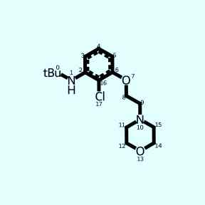 CC(C)(C)Nc1cccc(OCCN2CCOCC2)c1Cl